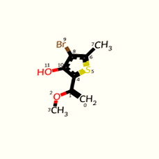 C=C(OC)c1sc(C)c(Br)c1O